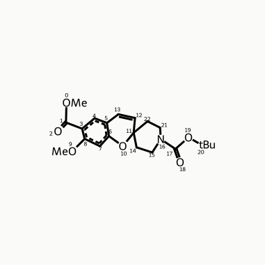 COC(=O)c1cc2c(cc1OC)OC1(C=C2)CCN(C(=O)OC(C)(C)C)CC1